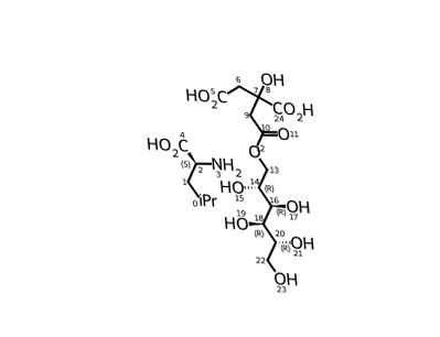 CC(C)C[C@H](N)C(=O)O.O=C(O)CC(O)(CC(=O)OC[C@@H](O)[C@@H](O)[C@H](O)[C@H](O)CO)C(=O)O